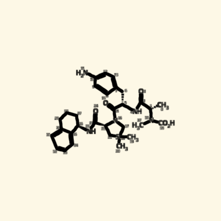 C[C@@H](C(=O)N[C@@H](Cc1ccc(N)cc1)C(=O)N1C[Si](C)(C)C[C@H]1C(=O)N[C@@H]1CCCc2ccccc21)N(C)C(=O)O